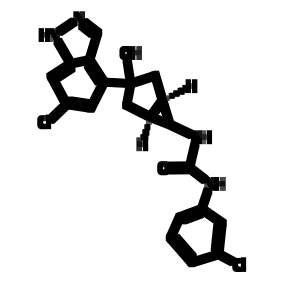 O=C(Nc1cccc(Cl)c1)NC1[C@H]2CC(O)(c3cc(Cl)cc4[nH]ncc34)C[C@@H]12